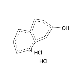 Cl.Cl.Oc1ccc2cccnc2c1